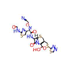 N#CCO/N=C(/C(=O)NC1C(=O)N2C(C(=O)O)=C(CSc3nncs3)CS[C@H]12)c1csc(NC=O)n1